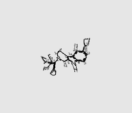 O=C(N1CCc2c([nH]c3ccc(Cl)cc23)C1)C(F)(F)F